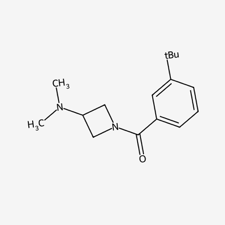 CN(C)C1CN(C(=O)c2cccc(C(C)(C)C)c2)C1